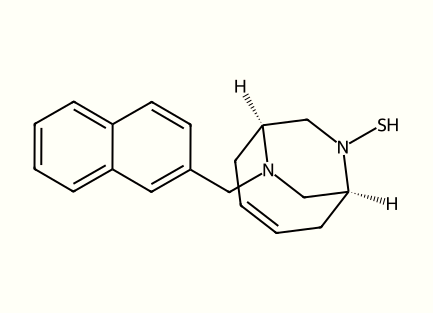 SN1C[C@@H]2C/C=C\C[C@H]1CN2Cc1ccc2ccccc2c1